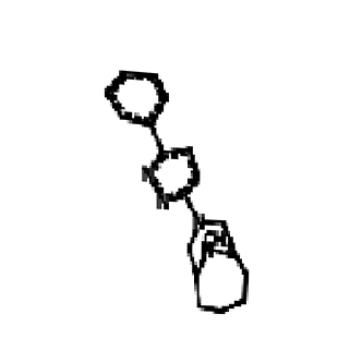 CN1C2CCCCC1CN(c1ccc(-c3ccccc3)nn1)C2